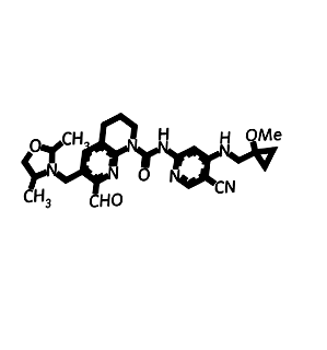 COC1(CNc2cc(NC(=O)N3CCCc4cc(CN5C(C)COC5C)c(C=O)nc43)ncc2C#N)CC1